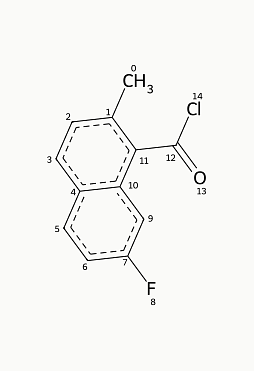 Cc1ccc2ccc(F)cc2c1C(=O)Cl